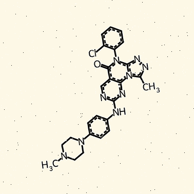 Cc1nnc2n(-c3ccccc3Cl)c(=O)c3cnc(Nc4ccc(N5CCN(C)CC5)cc4)nc3n12